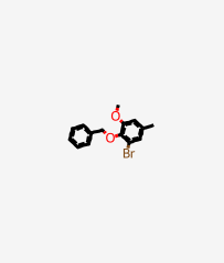 COc1cc(C)cc(Br)c1OCc1ccccc1